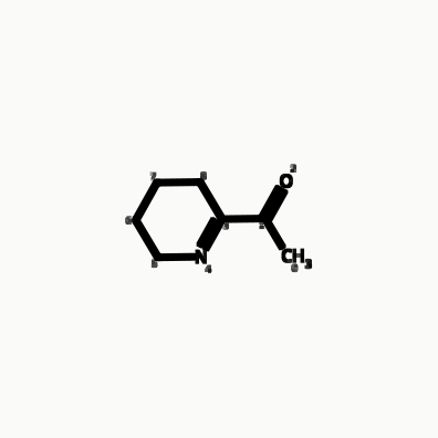 CC(=O)C1=NCCCC1